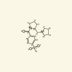 CS(=O)(=O)c1ccc(C(=O)N2CCCC2CN2CCCC2)cc1